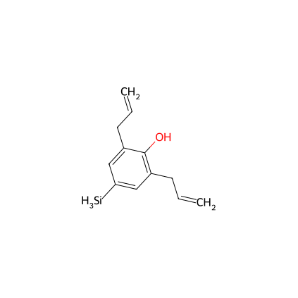 C=CCc1cc([SiH3])cc(CC=C)c1O